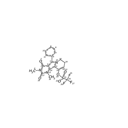 Cn1c(=O)c2c(-c3ccccc3)n3c(c2n(C)c1=O)C(OS(=O)(=O)C(F)(F)F)=CCC3